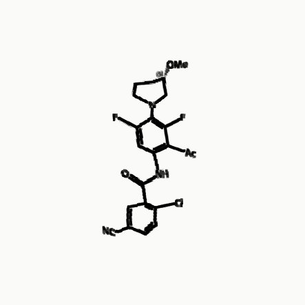 CO[C@H]1CCN(c2c(F)cc(NC(=O)c3cc(C#N)ccc3Cl)c(C(C)=O)c2F)C1